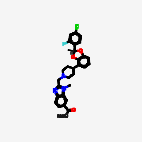 COC(=O)c1ccc2nc(CN3CCC(c4cccc5c4O[C@@](C)(c4ccc(Cl)cc4F)O5)CC3)n(C)c2c1